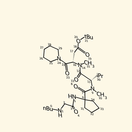 CCCCNCC(=O)NC1(C(=O)N(C)[C@H](C(=O)N(C)[C@@H](CC(=O)OC(C)(C)C)C(=O)N2CCCCC2)C(C)C)CCCC1